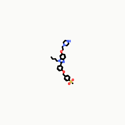 CCCCn1c(-c2cccc(OCc3ccc(S(C)(=O)=O)cc3)c2)nc2ccc(OCCN3CCNCC3)cc21